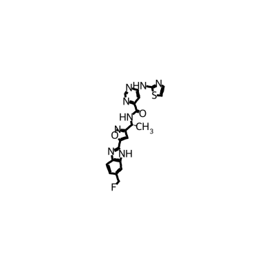 C[C@@H](NC(=O)c1cc(Nc2nccs2)ncn1)c1cc(-c2nc3ccc(CF)cc3[nH]2)on1